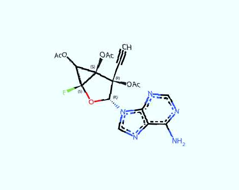 C#C[C@]1(OC(C)=O)[C@H](n2cnc3c(N)ncnc32)O[C@]2(F)C(OC(C)=O)[C@]12OC(C)=O